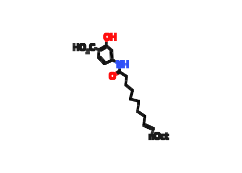 CCCCCCCCC=CCCCCCCCC(=O)Nc1ccc(C(=O)O)c(O)c1